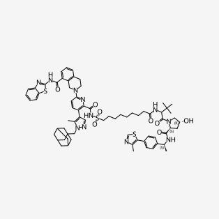 Cc1ncsc1-c1ccc([C@H](C)NC(=O)[C@@H]2C[C@@H](O)CN2C(=O)C(NC(=O)CCCCCCCCS(=O)(=O)NC(=O)c2nc(N3CCc4cccc(C(=O)Nc5nc6ccccc6s5)c4C3)ccc2-c2cnn(CC34CC5CC(CC(C5)C3)C4)c2C)C(C)(C)C)cc1